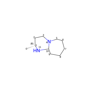 C[C@@H]1CCN2CCCCCC2N1